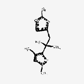 Cc1cn(C)nc1C(C)(C)Cc1coc(C(C)(C)C)n1